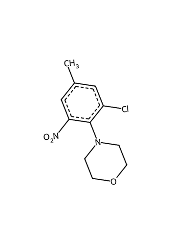 Cc1cc(Cl)c(N2CCOCC2)c([N+](=O)[O-])c1